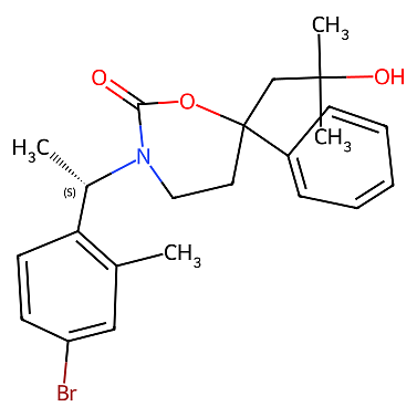 Cc1cc(Br)ccc1[C@H](C)N1CCC(CC(C)(C)O)(c2ccccc2)OC1=O